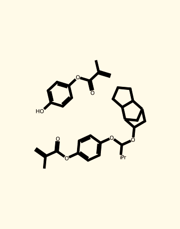 C=C(C)C(=O)Oc1ccc(O)cc1.C=C(C)C(=O)Oc1ccc(OC(OC2CC3CC2C2CCCC32)C(C)C)cc1